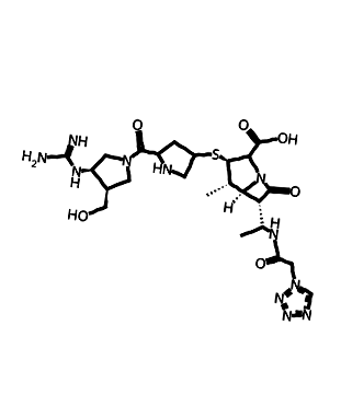 CC(NC(=O)Cn1cnnn1)[C@H]1C(=O)N2C(C(=O)O)[C@H](SC3CNC(C(=O)N4C[C@@H](CO)[C@@H](NC(=N)N)C4)C3)[C@@H](C)[C@H]12